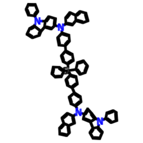 c1ccc(-n2c3ccccc3c3cc(N(c4ccc(-c5ccc([Si](c6ccccc6)(c6ccccc6)c6ccc(-c7ccc(N(c8ccc9ccccc9c8)c8ccc9c(c8)c8ccccc8n9-c8ccccc8)cc7)cc6)cc5)cc4)c4ccc5ccccc5c4)ccc32)cc1